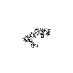 O=C(CN1C(=O)NC2(CCC(F)(F)CC2)C1=O)c1ccc(-c2nccnc2OCCO)cc1